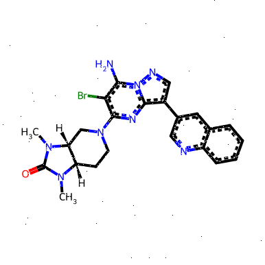 CN1C(=O)N(C)[C@H]2CCN(c3nc4c(-c5cnc6ccccc6c5)cnn4c(N)c3Br)C[C@H]21